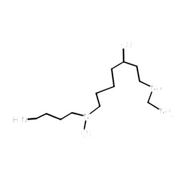 CC(CCCCN(C)CCCCN)CCNCN